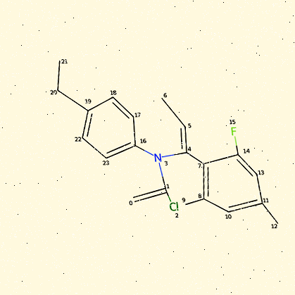 C=C(Cl)N(/C(=C\C)c1c(C)cc(C)cc1F)c1ccc(CC)cc1